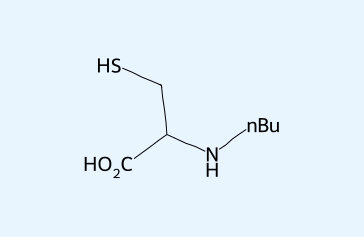 CCCCNC(CS)C(=O)O